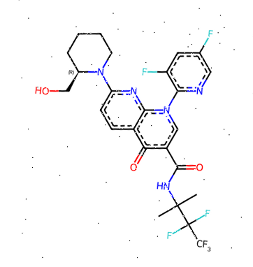 CC(C)(NC(=O)c1cn(-c2ncc(F)cc2F)c2nc(N3CCCC[C@@H]3CO)ccc2c1=O)C(F)(F)C(F)(F)F